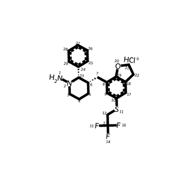 Cl.NN1CCC[C@@H](Cc2cc(SCC(F)(F)F)cc3c2OCC3)[C@H]1c1ccccc1